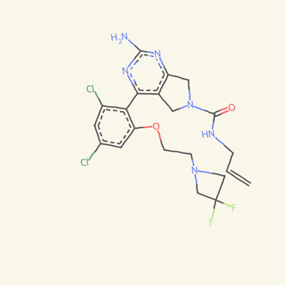 C=CCNC(=O)N1Cc2nc(N)nc(-c3c(Cl)cc(Cl)cc3OCCN3CC(F)(F)C3)c2C1